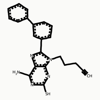 C#CCCCn1c(-c2cccc(-c3ccccc3)c2)nc2c(N)nc(S)nc21